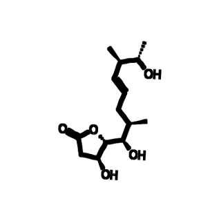 C[C@H](O)[C@H](C)/C=C/C[C@@H](C)[C@@H](O)[C@H]1OC(=O)C[C@@H]1O